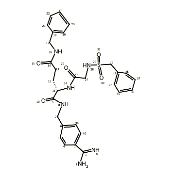 N=C(N)c1ccc(CNC(=O)[C@H](CCC(=O)NCc2ccccc2)NC(=O)CNS(=O)(=O)Cc2ccccc2)cc1